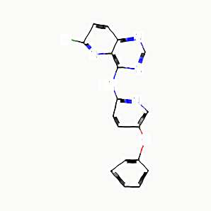 Clc1ccc2ncnc(Nc3ccc(Oc4ccccc4)cn3)c2n1